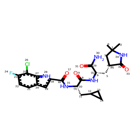 CC1(C)C[C@@H](C[C@H](NC(=O)[C@H](CC2CC2)NC(=O)c2cc3ccc(F)c(Cl)c3[nH]2)C(N)=O)C(=O)N1